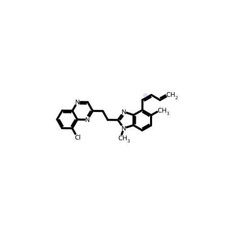 C=C/C=C\c1c(C)ccc2c1nc(CCc1cnc3cccc(Cl)c3n1)n2C